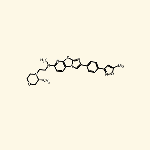 C[C@H]1COCCN1CCN(C)c1ccc2c(n1)sc1nc(-c3ccc(-c4cc(C(C)(C)C)on4)cc3)cn12